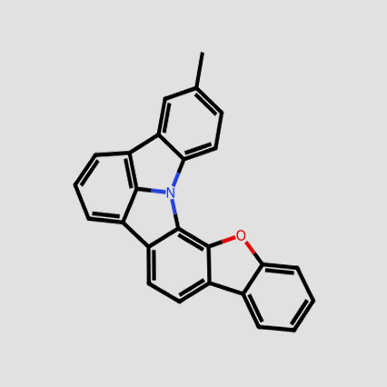 Cc1ccc2c(c1)c1cccc3c4ccc5c6ccccc6oc5c4n2c13